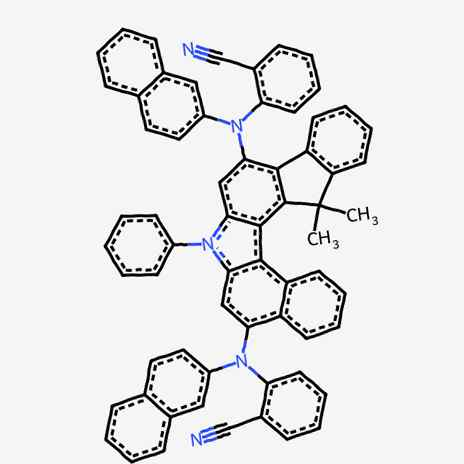 CC1(C)c2ccccc2-c2c(N(c3ccc4ccccc4c3)c3ccccc3C#N)cc3c(c21)c1c2ccccc2c(N(c2ccc4ccccc4c2)c2ccccc2C#N)cc1n3-c1ccccc1